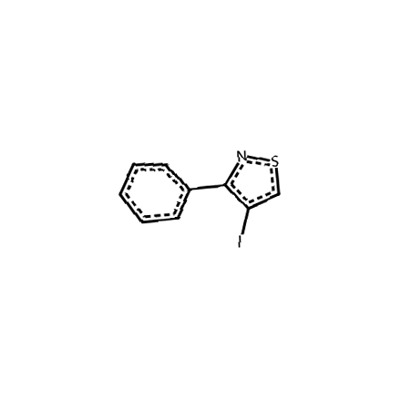 Ic1csnc1-c1ccccc1